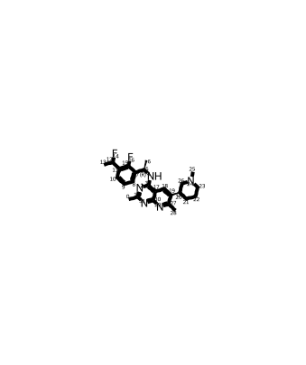 Cc1nc(N[C@H](C)c2cccc(C(C)F)c2F)c2cc([C@@H]3CCCN(C)C3)c(C)nc2n1